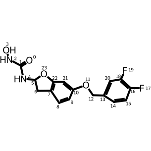 O=C(NO)NC1Cc2ccc(OCc3ccc(F)c(F)c3)cc2O1